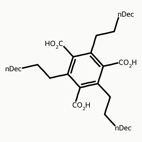 CCCCCCCCCCCCc1c(C(=O)O)c(CCCCCCCCCCCC)c(C(=O)O)c(CCCCCCCCCCCC)c1C(=O)O